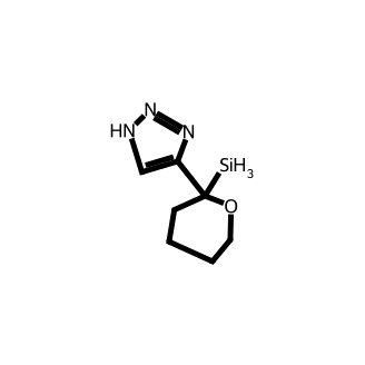 [SiH3]C1(c2c[nH]nn2)CCCCO1